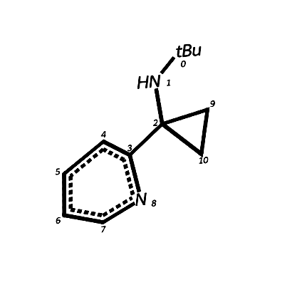 CC(C)(C)NC1(c2ccccn2)CC1